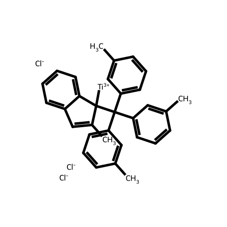 CC1=Cc2ccccc2[C]1([Ti+3])C(c1cccc(C)c1)(c1cccc(C)c1)c1cccc(C)c1.[Cl-].[Cl-].[Cl-]